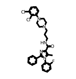 Cc1c(C(=O)NCCCN2CCN(c3cccc(Cl)c3Cl)CC2)nc(-c2ccccc2)n1-c1ccccc1F